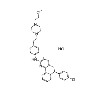 COCCN1CCN(CCc2ccc(Nc3ncc4c(n3)-c3ccccc3[C@H](c3ccc(Cl)cc3)C4)cc2)CC1.Cl